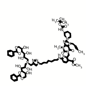 CC#CCn1c(N2CCC[C@@H](NC(=O)OC(C)(C)C)C2)nc2c1c(=O)n(Cc1nc(NCCCCCCCn3cc(CN(C[C@H](O)[C@@H](O)[C@@H]4OC(c5ccccc5)OC[C@H]4O)C[C@H](O)[C@@H](O)[C@@H]4OC(c5ccccc5)OC[C@H]4O)nn3)ccc1C(=O)OC)c(=O)n2C